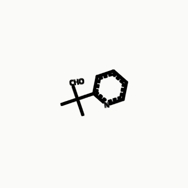 CC(C)(C=O)c1ccccn1